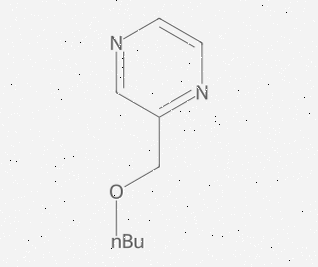 CCCCOCc1cnccn1